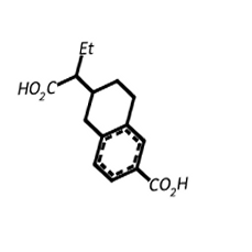 CCC(C(=O)O)C1CCc2cc(C(=O)O)ccc2C1